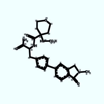 CN1Cc2cc(-c3ccc(CC(NC(=O)C4(NC(=O)O)CCOCC4)C(N)=O)cc3)ccc2C1=O